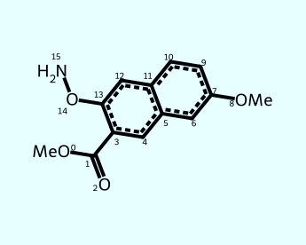 COC(=O)c1cc2cc(OC)ccc2cc1ON